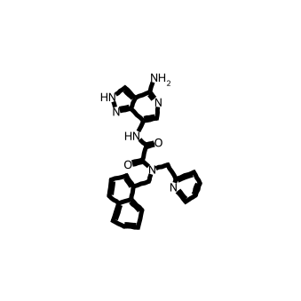 Nc1ncc(NC(=O)C(=O)N(Cc2ccccn2)Cc2cccc3ccccc23)c2n[nH]cc12